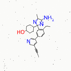 CC#Cc1cncc(-c2ccc(CC)c(C3(C4CCC(O)CC4)N=C(C)C(N)=N3)c2)c1